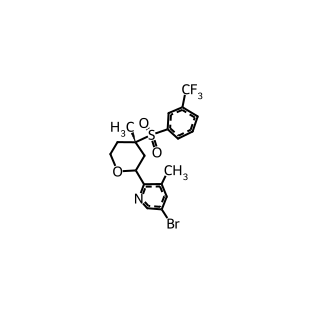 Cc1cc(Br)cnc1C1C[C@@](C)(S(=O)(=O)c2cccc(C(F)(F)F)c2)CCO1